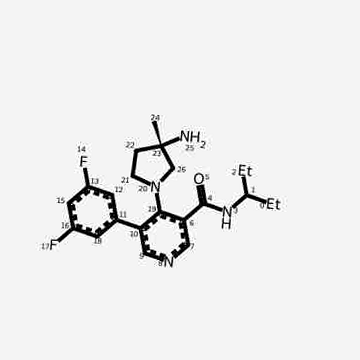 CCC(CC)NC(=O)c1cncc(-c2cc(F)cc(F)c2)c1N1CC[C@](C)(N)C1